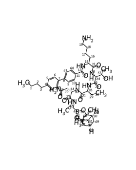 CCCCc1ccc(-c2ccc(C(=O)N[C@@H](CCCCN)C(=O)N[C@H](C(=O)N[C@@H](CC)C(=O)N[C@@H](CC(N)=O)C(=O)N[C@@H](C)B3OC4C[C@@H]5C[C@@H](C5(C)C)[C@]4(C)O3)C(C)O)cc2)cc1